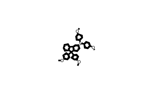 COc1ccc([S+](c2ccc(OC)cc2)c2ccc3c(c2)-c2ccccc2C3(c2ccc(OC)cc2)c2ccc(OC)cc2)cc1